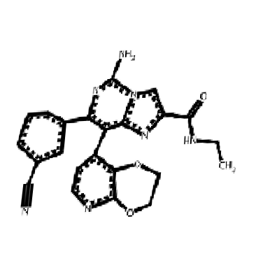 CCNC(=O)c1cn2c(N)nc(-c3cccc(C#N)c3)c(-c3ccnc4c3OCCO4)c2n1